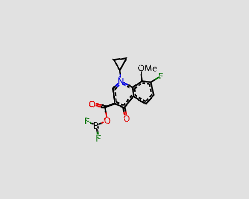 COc1c(F)ccc2c(=O)c(C(=O)OB(F)F)cn(C3CC3)c12